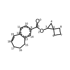 O=C(OC1CC12CCC2)c1ccc2c(c1)CCCC=C2